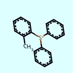 Cc1ccccc1[S+](c1ccccc1)c1ccccc1